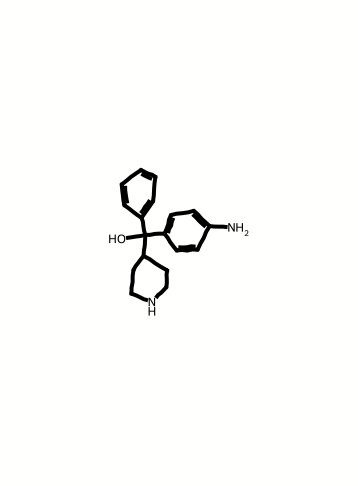 Nc1ccc(C(O)(c2ccccc2)C2CCNCC2)cc1